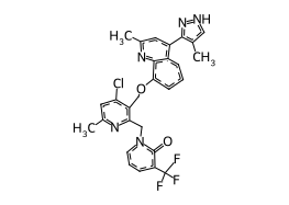 Cc1cc(Cl)c(COc2cccc3c(-c4n[nH]cc4C)cc(C)nc23)c(Cn2cccc(C(F)(F)F)c2=O)n1